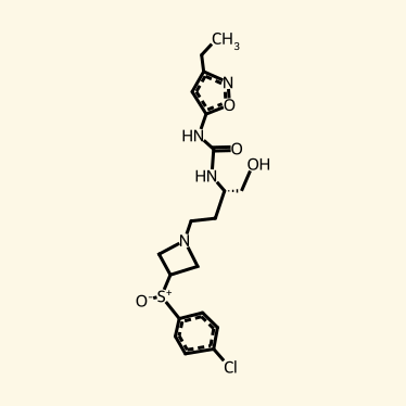 CCc1cc(NC(=O)N[C@H](CO)CCN2CC([S+]([O-])c3ccc(Cl)cc3)C2)on1